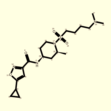 C[C@H]1C[C@@H](NC(=O)c2cc(C3CC3)on2)CCN1S(=O)(=O)CCCCN(C)C